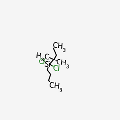 CCCC[Si](Cl)(Cl)C(C)(C)CCC